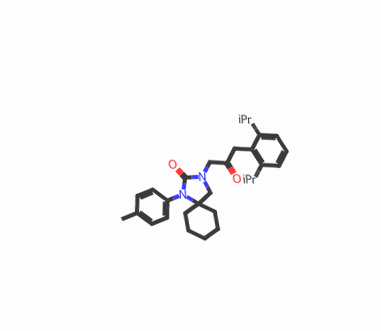 Cc1ccc(N2C(=O)N(CC(=O)Cc3c(C(C)C)cccc3C(C)C)CC23CCCCC3)cc1